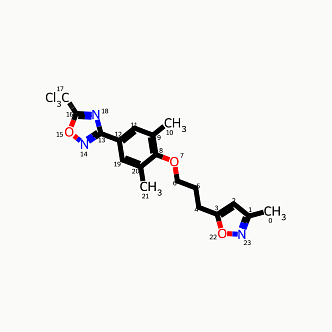 Cc1cc(CCCOc2c(C)cc(-c3noc(C(Cl)(Cl)Cl)n3)cc2C)on1